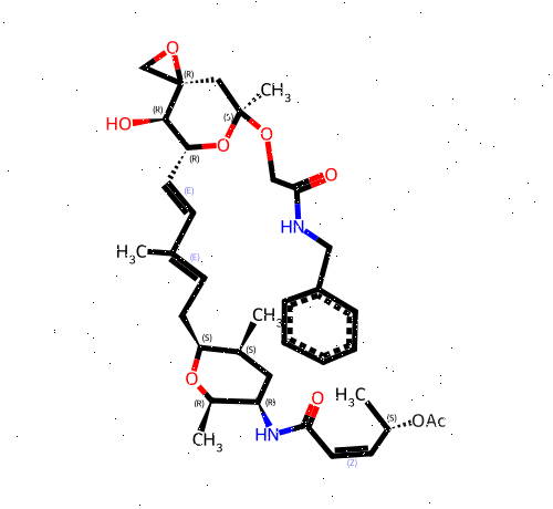 CC(=O)O[C@@H](C)/C=C\C(=O)N[C@@H]1C[C@H](C)[C@H](C/C=C(C)/C=C/[C@H]2O[C@](C)(OCC(=O)NCc3ccccc3)C[C@@]3(CO3)[C@@H]2O)O[C@@H]1C